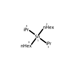 CCCCC[CH2][Sn]([CH2]CCCCC)([CH](C)C)[CH](C)C